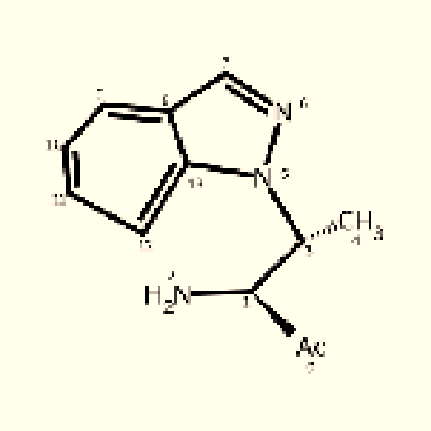 CC(=O)[C@@H](N)[C@@H](C)n1ncc2ccccc21